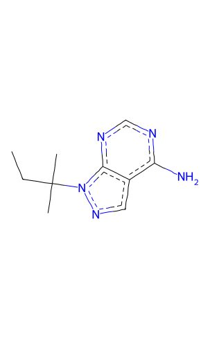 CCC(C)(C)n1ncc2c(N)ncnc21